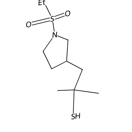 CCS(=O)(=O)N1CCC(CC(C)(C)S)C1